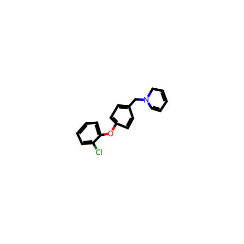 Clc1ccccc1Oc1ccc(CN2C=CC=CC2)cc1